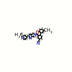 Cc1cccc(-c2ccc(C#N)cc2C(=O)N2Cc3cn(-c4ccnc(C)c4)nc3C2)c1